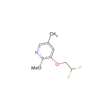 COc1ncc(C)cc1OCC(F)F